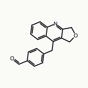 O=Cc1ccc(Cc2c3c(nc4ccccc24)COC3)cc1